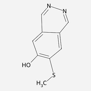 CSc1cc2cnncc2cc1O